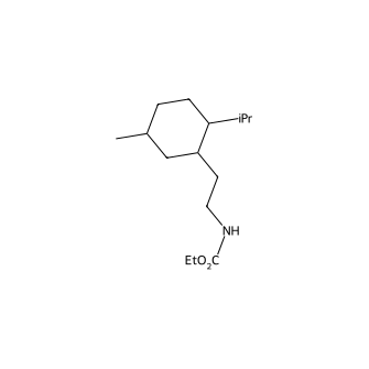 CCOC(=O)NCCC1CC(C)CCC1C(C)C